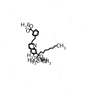 CCCCCCCCC(O[SiH](C)C)(c1ccc2ccc(CCc3cccc(C(=O)OC)c3)nc2c1)C(C)(C)C